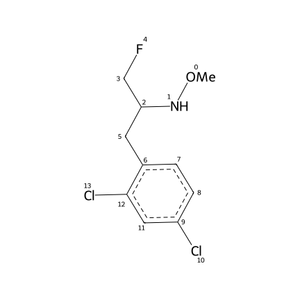 CONC(CF)Cc1ccc(Cl)cc1Cl